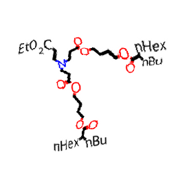 CCCCCCC(CCCC)C(=O)OCCCCOC(=O)CCN(CCC(=O)OCC)CCC(=O)OCCCCOC(=O)C(CCCC)CCCCCC